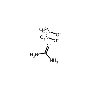 NC(N)=O.O=[N+]([O-])[O-].O=[N+]([O-])[O-].[Cu+2]